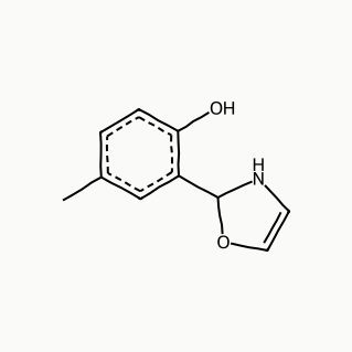 Cc1ccc(O)c(C2NC=CO2)c1